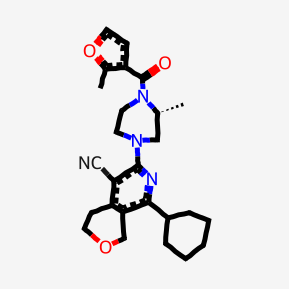 Cc1occc1C(=O)N1CCN(c2nc(C3CCCCC3)c3c(c2C#N)CCOC3)C[C@H]1C